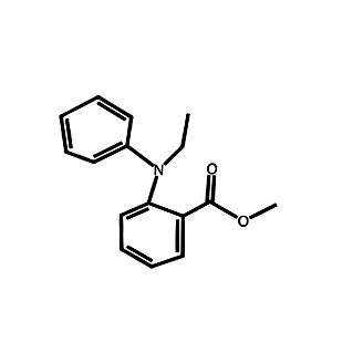 CCN(c1ccccc1)c1ccccc1C(=O)OC